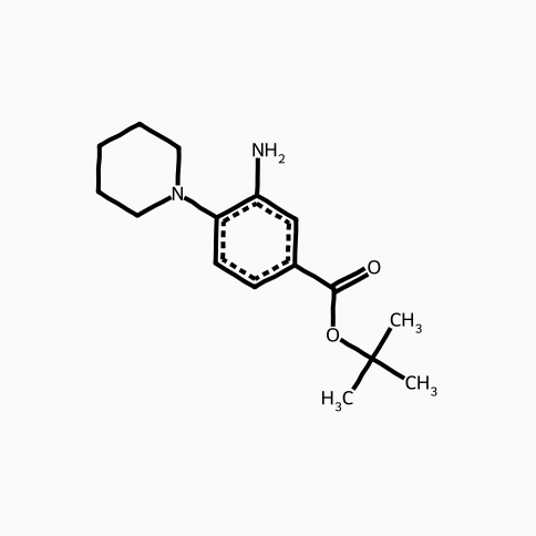 CC(C)(C)OC(=O)c1ccc(N2CCCCC2)c(N)c1